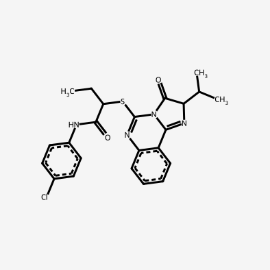 CCC(SC1=Nc2ccccc2C2=NC(C(C)C)C(=O)N12)C(=O)Nc1ccc(Cl)cc1